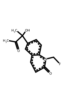 CC(=O)C(C)(O)c1ccc2c(ccc(=O)n2CF)c1